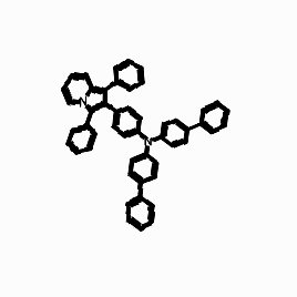 c1ccc(-c2ccc(N(c3ccc(-c4ccccc4)cc3)c3ccc(-c4c(-c5ccccc5)c5ccccn5c4-c4ccccc4)cc3)cc2)cc1